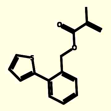 C=C(C)C(=O)OCc1ccccc1-c1cccs1